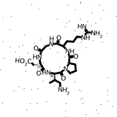 CC(CN)[C@H]1NC(=O)[C@H](CC(=O)O)NC(=O)CNC(=O)C(CCCNC(=N)N)NC(=O)C2CCCN2C1=O